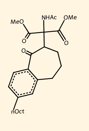 CCCCCCCCc1ccc2c(c1)CCCC(C(NC(C)=O)(C(=O)OC)C(=O)OC)C2=O